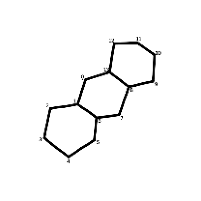 [CH]1C2CCCCC2CC2CCCCC12